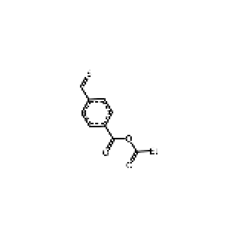 CCC(=O)OC(=O)c1ccc(C=S)cc1